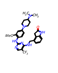 COc1cc(N2CCC(N(C)C)CC2)ccc1Nc1ncc(C(F)(F)F)c(NCc2cccc3c2CC(=O)N3)n1